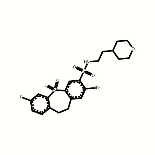 CC(C)c1cc2c(cc1S(=O)(=O)NCCC1CCOCC1)S(=O)(=O)c1cc(F)ccc1CC2